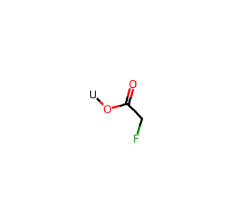 O=C(CF)[O][U]